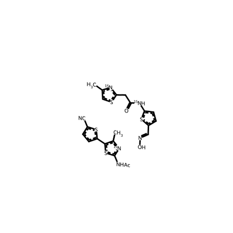 CC(=O)[15NH]c1[15n]c(C)c(-c2ccc(C#[15N])s2)s1.Cc1csc(CC(=O)[15NH]c2ccc(C=NO)s2)[15n]1